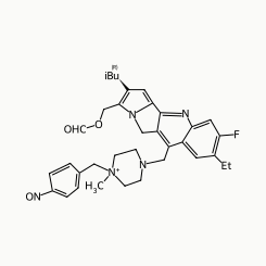 CCc1cc2c(CN3CC[N+](C)(Cc4ccc(N=O)cc4)CC3)c3c(nc2cc1F)-c1cc([C@H](C)CC)c(COC=O)n1C3